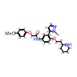 COc1ccc(OCC(=O)Nc2ccc(OCCC3CCCCN3)c(-c3ccnn3C)c2)cc1